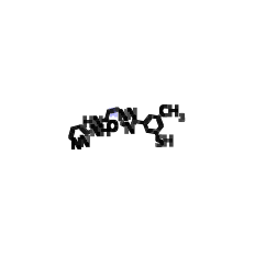 Cc1cc(S)cc(-c2ncn(/C=C\C(=O)NNc3cccnn3)n2)c1